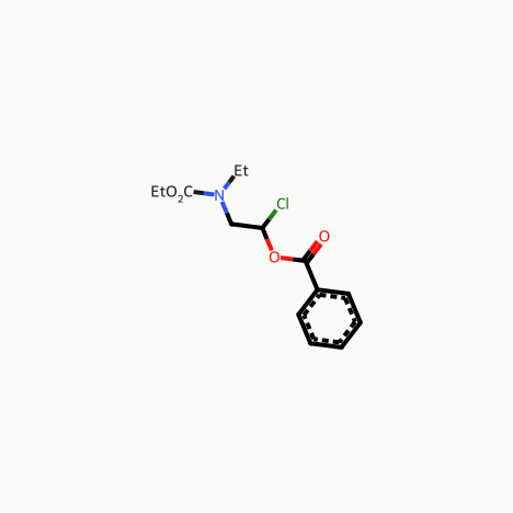 CCOC(=O)N(CC)CC(Cl)OC(=O)c1ccccc1